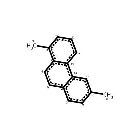 Cc1ccc2ccc3c(C)cccc3c2c1